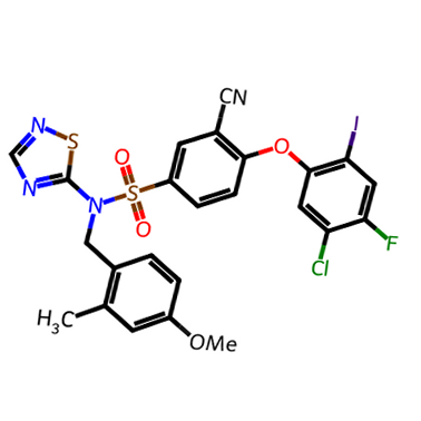 COc1ccc(CN(c2ncns2)S(=O)(=O)c2ccc(Oc3cc(Cl)c(F)cc3I)c(C#N)c2)c(C)c1